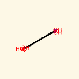 O=P(O)(O)CCCCCCCCCCCCCCCCCCCCCCCCCCCCCCCCCOP(=O)(O)O